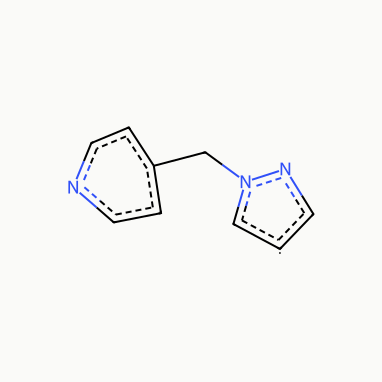 [c]1cnn(Cc2ccncc2)c1